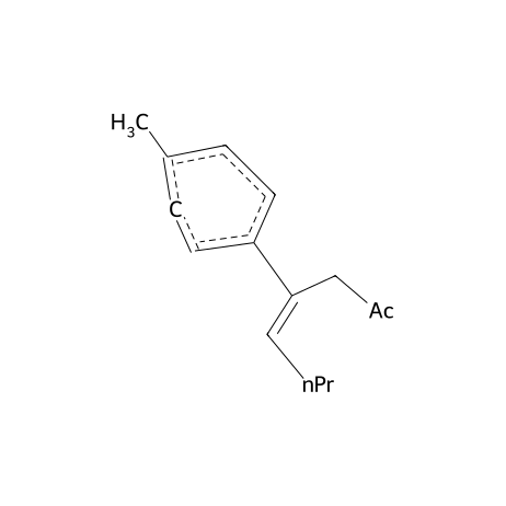 CCC/C=C(\CC(C)=O)c1ccc(C)cc1